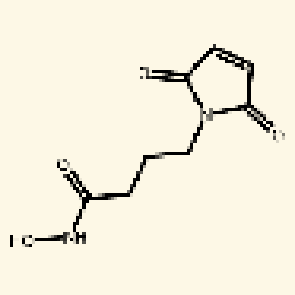 O=C(CCCN1C(=O)C=CC1=O)NO